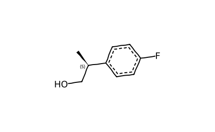 C[C@H](CO)c1ccc(F)cc1